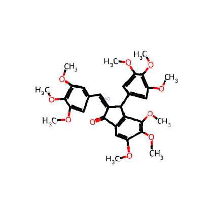 COc1cc(/C=C2\C(=O)c3cc(OC)c(OC)c(OC)c3C2c2cc(OC)c(OC)c(OC)c2)cc(OC)c1OC